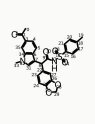 CC(=O)c1ccc2c(C(C(=O)NS(=O)(=O)c3ccc(C)cc3)c3ccc4c(c3)OCO4)cn(C)c2c1